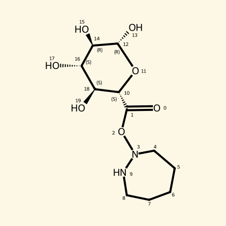 O=C(ON1CCCCCN1)[C@H]1O[C@@H](O)[C@H](O)[C@@H](O)[C@@H]1O